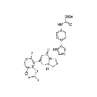 COC(=O)Nc1ccc(-c2cnc([C@@H]3CC[C@H]4CC(c5c(F)ccc(Cl)c5OC(F)F)=CC(=O)N43)[nH]2)cc1